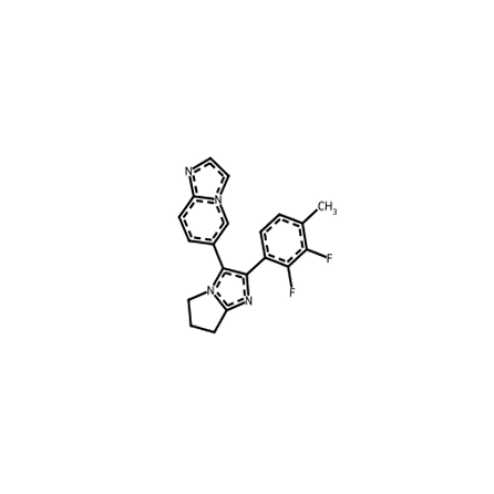 Cc1ccc(-c2nc3n(c2-c2ccc4nccn4c2)CCC3)c(F)c1F